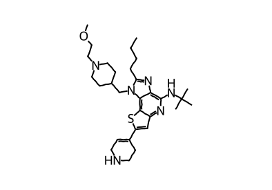 CCCCc1nc2c(NC(C)(C)C)nc3cc(C4=CCNCC4)sc3c2n1CC1CCN(CCOC)CC1